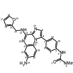 CNC(=O)Nc1ccc(-c2cnc3c(NCc4ccco4)nc4cc(N)ccc4n23)cc1